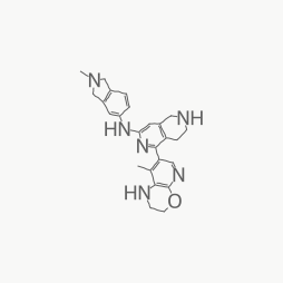 Cc1c(-c2nc(Nc3ccc4c(c3)CN(C)C4)cc3c2CCNC3)cnc2c1NCCO2